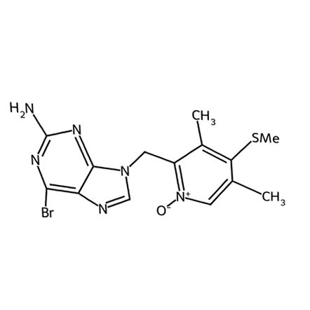 CSc1c(C)c[n+]([O-])c(Cn2cnc3c(Br)nc(N)nc32)c1C